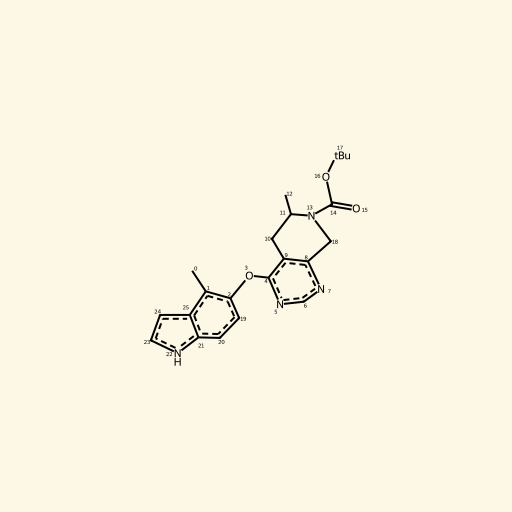 Cc1c(Oc2ncnc3c2CC(C)N(C(=O)OC(C)(C)C)C3)ccc2[nH]ccc12